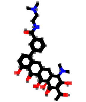 CC(=O)C1=C(O)[C@H](N(C)C)C2CC3Cc4c(-c5cccc(C(=O)NCCN(C)C)c5)ccc(O)c4C(=O)C3=C(O)[C@]2(O)C1=O